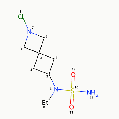 CCN(C1CC2(C1)CN(Cl)C2)S(N)(=O)=O